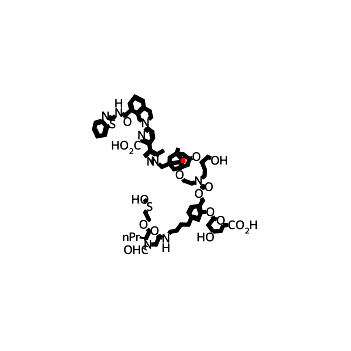 CCC[C@@H](COCCSO)N(C=O)CC(=O)NCCCCc1ccc(COC(=O)N2CCOC34CC5(C)CC(Cn6ncc(-c7ccc(N8CCc9cccc(C(=O)Nc%10nc%11ccccc%11s%10)c9C8)nc7C(=O)O)c6C)(C3)CC(C5)(C4)OC(CO)CC2)c(OC2CC(O)CC(C(=O)O)O2)c1